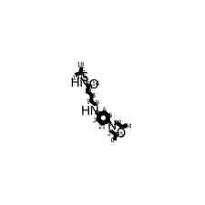 CC1CN(c2ccc(NCCCCC(=O)NSC(C)C)cc2)CC(C)O1